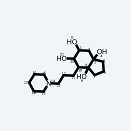 OC1CC2(O)CCCC2(O)C(CCCN2CCCCC2)C1O